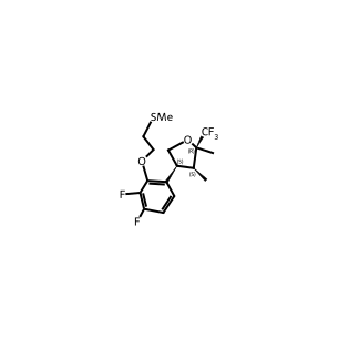 CSCCOc1c([C@H]2CO[C@@](C)(C(F)(F)F)[C@H]2C)ccc(F)c1F